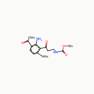 CNc1ccc(C(=O)OC)c(N)c1C(=O)CCNC(=O)OC(C)(C)C